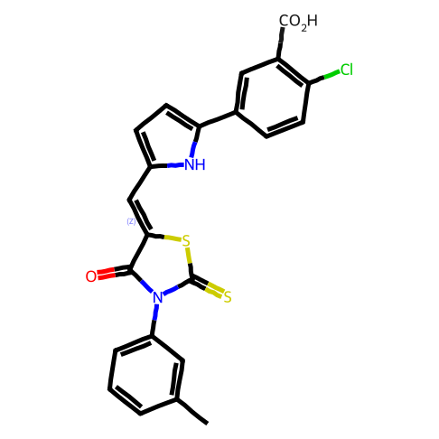 Cc1cccc(N2C(=O)/C(=C/c3ccc(-c4ccc(Cl)c(C(=O)O)c4)[nH]3)SC2=S)c1